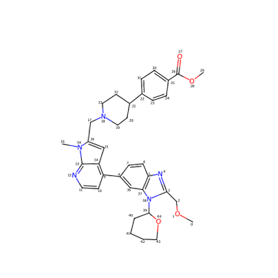 COCc1nc2ccc(-c3ccnc4c3cc(CN3CCC(c5ccc(C(=O)OC)cc5)CC3)n4C)cc2n1C1CCCCO1